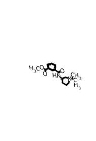 COC(=O)c1cccc(C(=O)N[C@@H]2CCCN(C(C)C)C2)c1